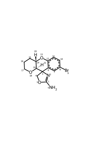 NC1=NC2(CO1)c1cc(Br)ccc1O[C@H]1CCCO[C@@H]12